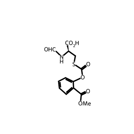 COC(=O)c1ccccc1OC(=O)SC[C@@H](NC=O)C(=O)O